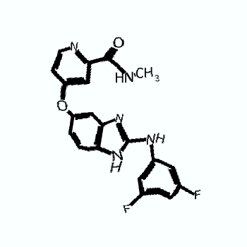 CNC(=O)c1cc(Oc2ccc3[nH]c(Nc4cc(F)cc(F)c4)nc3c2)ccn1